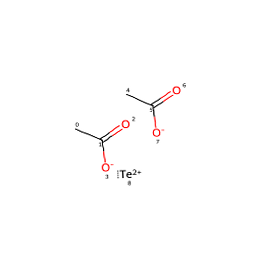 CC(=O)[O-].CC(=O)[O-].[Te+2]